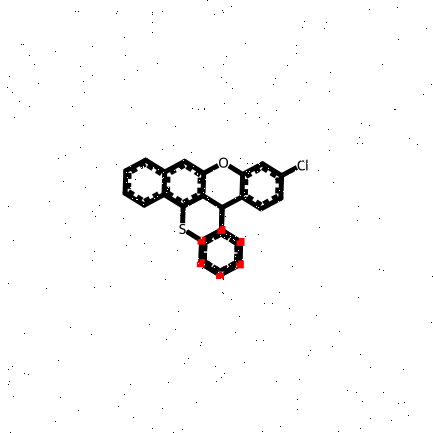 Clc1ccc2c(c1)Oc1cc3ccccc3c3c1C2(c1ccccc1)c1ccccc1S3